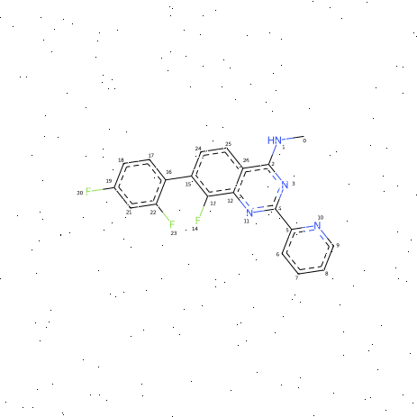 CNc1nc(-c2ccccn2)nc2c(F)c(-c3ccc(F)cc3F)ccc12